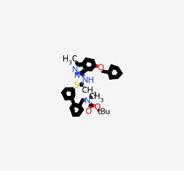 Cc1nnc(N[C@@H](C)Sc2cccc(-c3ccccc3CN(C)C(=O)OC(C)(C)C)c2)c2cc(OCc3ccccc3)ccc12